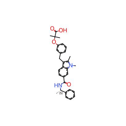 Cc1c(Cc2cccc(OC(C)(C)C(=O)O)c2)c2ccc(C(=O)N[C@@H](C)c3ccccc3)cc2n1C